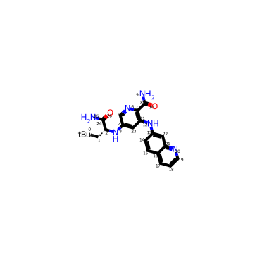 CC(C)(C)C[C@@H](Nc1cnc(C(N)=O)c(Nc2ccc3cccnc3c2)c1)C(N)=O